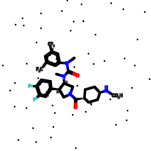 CN(C(=O)N(C)[C@@H]1CN(C(=O)[C@H]2CC[C@H](NC(=O)O)CC2)C[C@H]1c1ccc(F)c(F)c1)c1cc(C(F)(F)F)cc(C(F)(F)F)c1